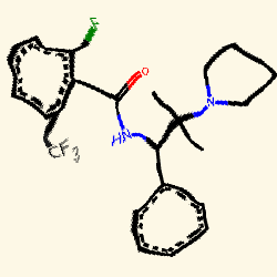 CC(C)(C(NC(=O)c1c(F)cccc1C(F)(F)F)c1ccccc1)N1CCCC1